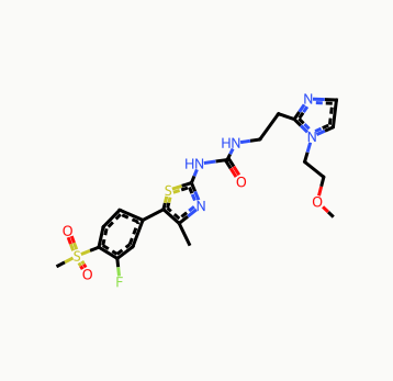 COCCn1ccnc1CCNC(=O)Nc1nc(C)c(-c2ccc(S(C)(=O)=O)c(F)c2)s1